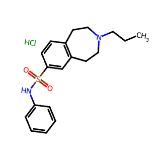 CCCN1CCc2ccc(S(=O)(=O)Nc3ccccc3)cc2CC1.Cl